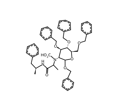 CC(C(=O)N[C@@H](C)Cc1ccccc1)N(C(=O)O)[C@H]1C(OCc2ccccc2)O[C@H](COCc2ccccc2)[C@@H](OCc2ccccc2)[C@@H]1OCc1ccccc1